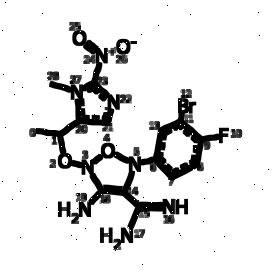 CC(ON1ON(c2ccc(F)c(Br)c2)C(C(=N)N)=C1N)c1cnc([N+](=O)[O-])n1C